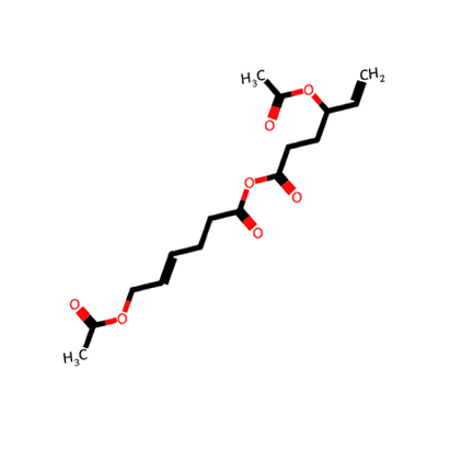 C=CC(CCC(=O)OC(=O)CCC=CCOC(C)=O)OC(C)=O